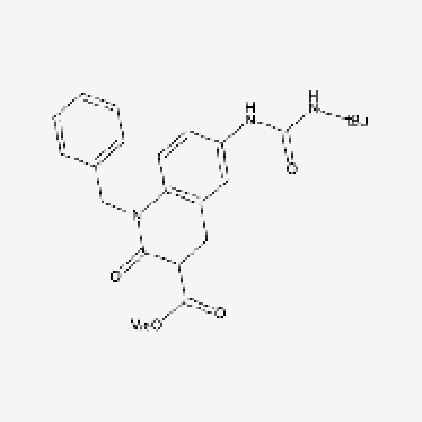 COC(=O)C1Cc2cc(NC(=O)NC(C)(C)C)ccc2N(Cc2ccccc2)C1=O